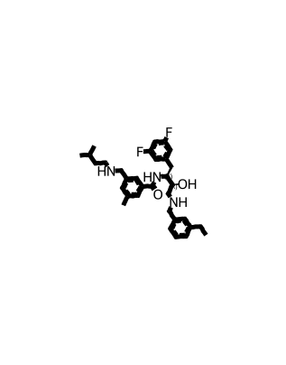 CCc1cccc(CNC[C@@H](O)[C@H](Cc2cc(F)cc(F)c2)NC(=O)c2cc(C)cc(CNCCC(C)C)c2)c1